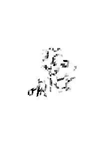 CC1c2c(cc(Cc3ccc(Cl)nc3)c3ccccc23)C(=O)N1c1ccccc1F